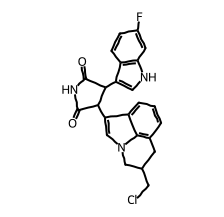 O=C1NC(=O)C(c2cn3c4c(cccc24)CC(CCl)C3)C1c1c[nH]c2cc(F)ccc12